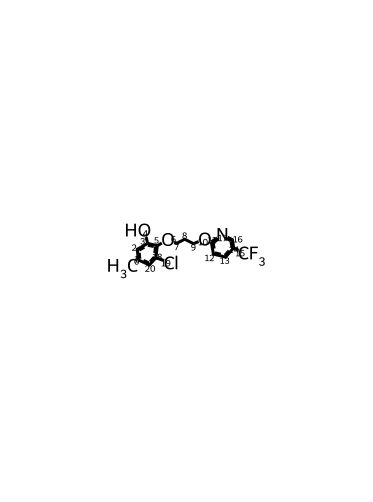 Cc1cc(O)c(OCCCOc2ccc(C(F)(F)F)cn2)c(Cl)c1